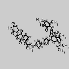 CC[C@H](C)n1cc(C)c2c(C(=O)NCc3c(C)cc(C)[nH]c3=O)cc(-c3ccc(N4CCN(CCC(C)Oc5cccc6c5C(=O)C5C[C@]5(C5CCC(=O)NC5=O)C6=O)CC4)nc3)cc21